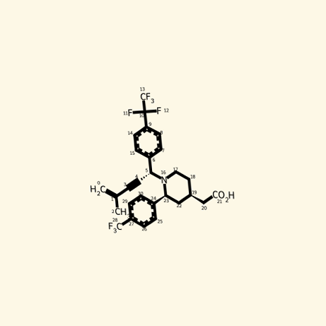 C=C(C)C#C[C@H](c1ccc(C(F)(F)C(F)(F)F)cc1)N1CC[C@@H](CC(=O)O)C[C@H]1c1ccc(C(F)(F)F)cc1